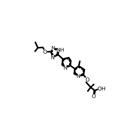 Cc1cc(OCC(C)(C)C(=O)O)ncc1-c1ccc(-c2nc(OCC(C)C)n[nH]2)cn1